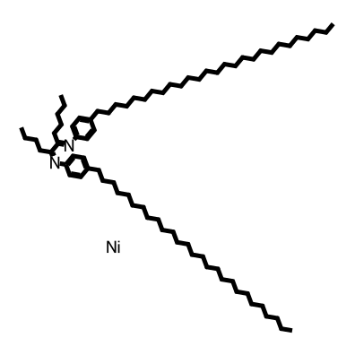 CCCCCCCCCCCCCCCCCCCCCCCCCCCc1ccc(N=C(CCCC)C(CCCCC)=Nc2ccc(CCCCCCCCCCCCCCCCCCCCCCCCCCC)cc2)cc1.[Ni]